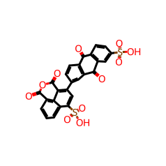 O=C1c2ccc(-c3cc(S(=O)(=O)O)c4cccc5c4c3C(=O)OC5=O)cc2C(=O)c2cc(S(=O)(=O)O)ccc21